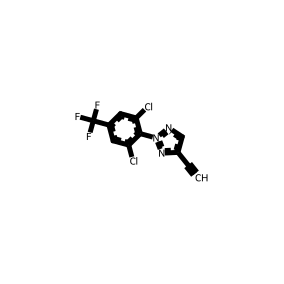 C#Cc1cnn(-c2c(Cl)cc(C(F)(F)F)cc2Cl)n1